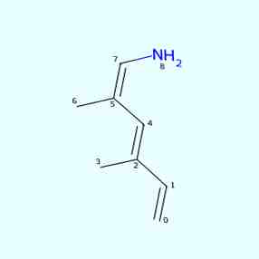 C=C/C(C)=C/C(C)=C\N